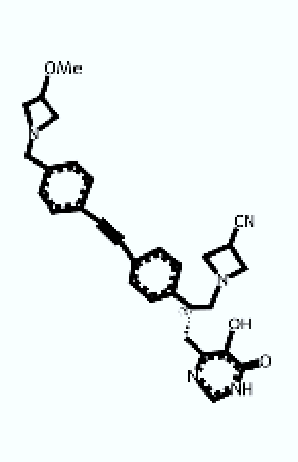 COC1CN(Cc2ccc(C#Cc3ccc([C@@H](Cc4nc[nH]c(=O)c4O)CN4CC(C#N)C4)cc3)cc2)C1